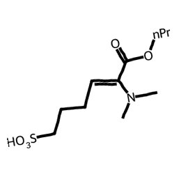 CCCOC(=O)C(=CCCCS(=O)(=O)O)N(C)C